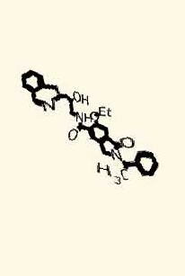 CCOc1cc2c(cc1C(=O)NC[C@@H](O)[C@@H]1Cc3ccccc3C=N1)CN(C(C)c1ccccc1)C2=O